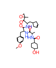 COc1ccc(CC(NC(=O)C(C)NC(=O)C2CCC(O)CC2)C(=O)NC(CC2CC=CC2)C(=O)C2(C)CO2)cc1